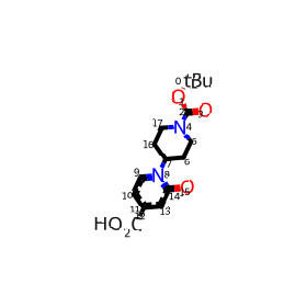 CC(C)(C)OC(=O)N1CCC(n2ccc(C(=O)O)cc2=O)CC1